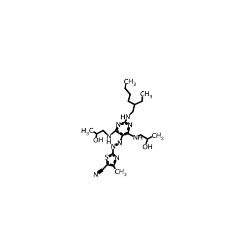 CCCCC(CC)CNc1nc(NCC(C)O)c(N=Nc2nc(C)c(C#N)s2)c(NCC(C)O)n1